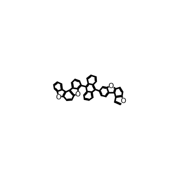 c1ccc2c(c1)oc1ccc3oc4c(-c5c6ccccc6c(-c6ccc7c(c6)oc6ccc8occc8c67)c6ccccc56)cccc4c3c12